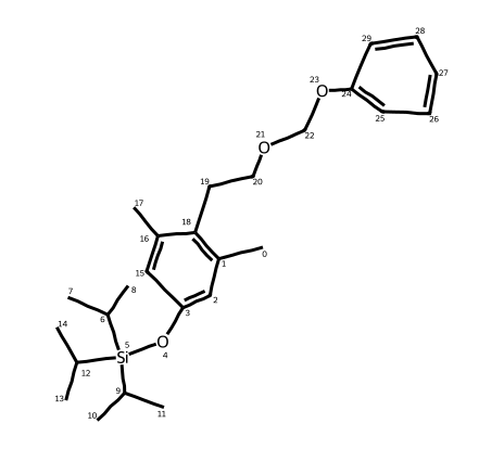 Cc1cc(O[Si](C(C)C)(C(C)C)C(C)C)cc(C)c1CCOCOc1ccccc1